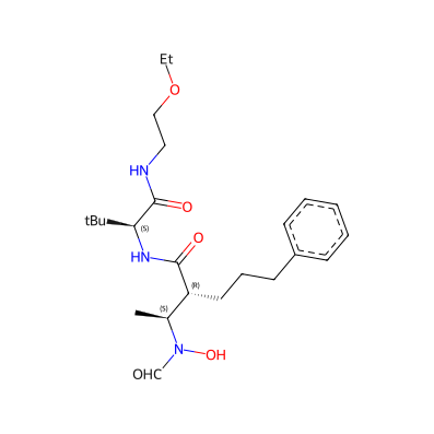 CCOCCNC(=O)[C@@H](NC(=O)[C@H](CCCc1ccccc1)[C@H](C)N(O)C=O)C(C)(C)C